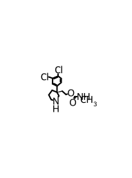 CNC(=O)OCC[C@]1(c2ccc(Cl)c(Cl)c2)CCCNC1